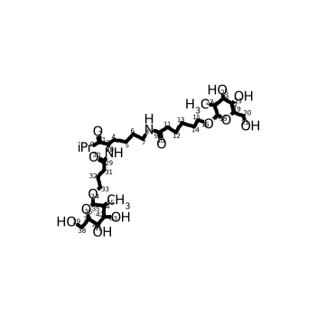 CC(C)C(=O)C(CCCCNC(=O)CCCCCOC1OC(CO)C(O)C(O)C1C)NC(=O)CCCOC1OC(CO)C(O)C(O)C1C